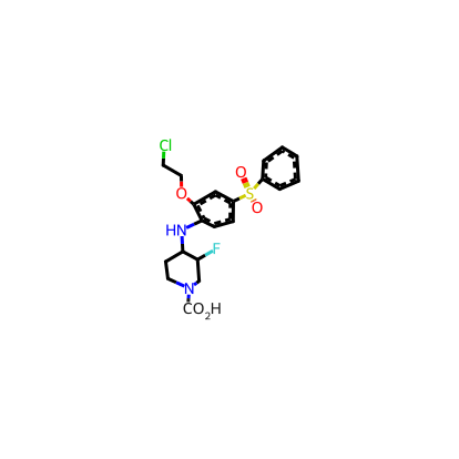 O=C(O)N1CCC(Nc2ccc(S(=O)(=O)c3ccccc3)cc2OCCCl)C(F)C1